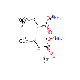 NOC(=O)CCC(=O)[O-].NOC(=O)CCC(=O)[O-].[Na+].[Na+]